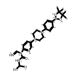 CCC(CC)NC(=O)N(C=N)c1ccc(N2CCN(c3ccc(B4OC(C)(C)C(C)(C)O4)cc3)CC2)cn1